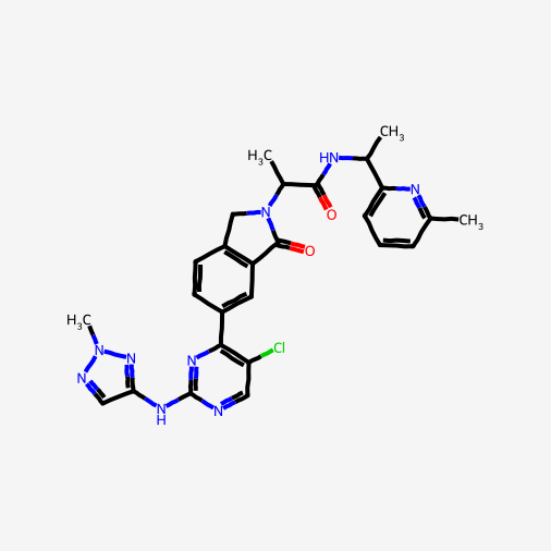 Cc1cccc(C(C)NC(=O)C(C)N2Cc3ccc(-c4nc(Nc5cnn(C)n5)ncc4Cl)cc3C2=O)n1